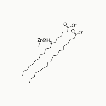 CCCCCCCCCCCCCCCCCC(=O)[O-].CCCCCCCCCCCCCCCCCC(=O)[O-].CC[SiH3].[Zn+2]